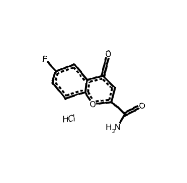 Cl.NC(=O)c1cc(=O)c2cc(F)ccc2o1